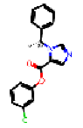 C[C@H](c1ccccc1)n1cncc1C(=O)Oc1cccc(Cl)c1